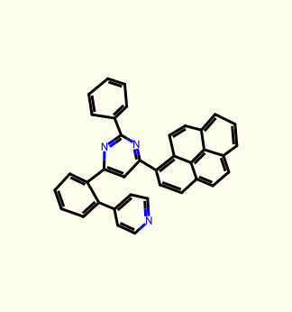 c1ccc(-c2nc(-c3ccccc3-c3ccncc3)cc(-c3ccc4ccc5cccc6ccc3c4c56)n2)cc1